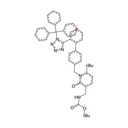 CCCCc1ccc(CNC(=O)OC(C)(C)C)c(=O)n1Cc1ccc(-c2ccccc2-c2nnnn2C(c2ccccc2)(c2ccccc2)c2ccccc2)cc1